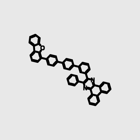 c1ccc(-c2nc3c4ccccc4c4ccccc4c3nc2-c2cccc(-c3ccc(-c4ccc(-c5cccc6c5oc5ccccc56)cc4)cc3)c2)cc1